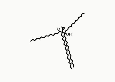 CCCCCCCCCCCCCCCCC([C]1CC1)(C(=O)CCCCCCCCCCCCC)C(O)(CCCCCCCCCCCC)CCCCCCCCCCCCCCC